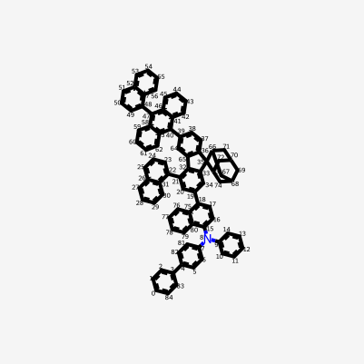 c1ccc(-c2ccc(N(c3ccccc3)c3ccc(-c4cc(-c5cccc6ccccc56)c5c(c4)C4(c6ccc(-c7c8ccccc8c(-c8cccc9ccccc89)c8ccccc78)cc6-5)C5CC6CC(C5)CC4C6)c4ccccc34)cc2)cc1